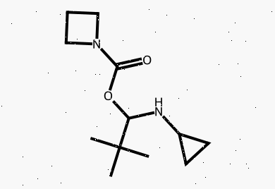 CC(C)(C)C(NC1CC1)OC(=O)N1CCC1